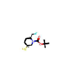 CC(C)(C)OC(=O)N1C[C@@H](S)CC[C@H]1CF